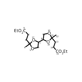 CCOC(=O)CCC1(C)OCC(C2COC(C)(CCC(=O)OCC)O2)O1